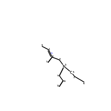 C/C=C(\C)CN(CCC)CCC